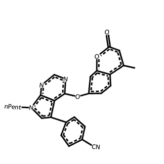 CCCCCn1cc(-c2ccc(C#N)cc2)c2c(Oc3ccc4c(C)cc(=O)oc4c3)ncnc21